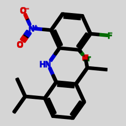 CC(C)c1cccc(C(C)C)c1Nc1c([N+](=O)[O-])ccc(F)c1Br